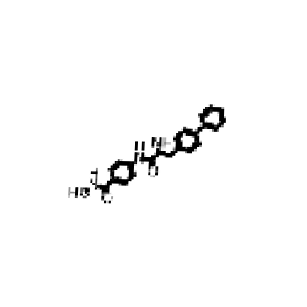 N[C@@H](Cc1ccc(-c2ccccc2)cc1)C(=O)Nc1ccc(C(=O)NO)cc1